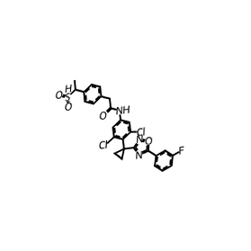 CC(c1ccc(CC(=O)Nc2cc(Cl)c(C3(c4noc(-c5cccc(F)c5)n4)CC3)c(Cl)c2)cc1)[SH](=O)=O